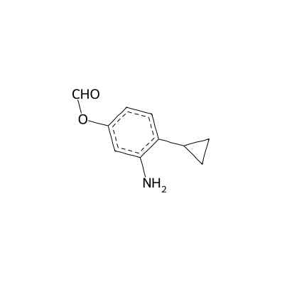 Nc1cc(OC=O)ccc1C1CC1